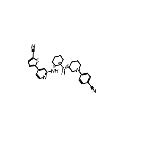 N#Cc1ccc(N2CCC[C@H](N[C@@H]3CCCC[C@H]3Nc3cc(-c4ccc(C#N)s4)ccn3)C2)cc1